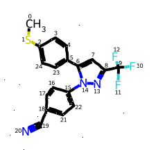 CSc1ccc(-c2cc(C(F)(F)F)nn2-c2ccc(C#N)cc2)cc1